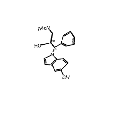 CNC[C@H](O)[C@H](c1ccccc1)n1ccc2cc(O)ccc21